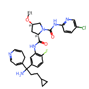 CCO[C@@H]1C[C@H](C(=O)Nc2cc(C(N)(CCC3CC3)C3=CC=NC=CC3)ccc2F)N(C(=O)Nc2ccc(Cl)cn2)C1